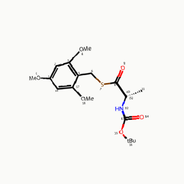 COc1cc(OC)c(CSC(=O)[C@H](C)NC(=O)OC(C)(C)C)c(OC)c1